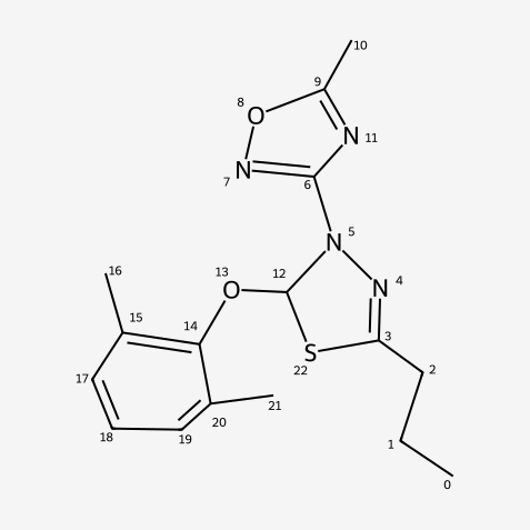 CCCC1=NN(c2noc(C)n2)C(Oc2c(C)cccc2C)S1